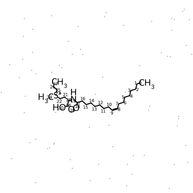 CCCCCCCC/C=C\CCCCCCCC(=O)N[C@H](CC[S+](C)CCC)C(=O)O